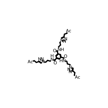 CC(=O)CCc1cn(CCCNC(=O)c2cc(C(=O)NCCCn3cc(CCC(C)=O)nn3)cc(C(=O)NCCCn3cc(CCC(C)=O)nn3)c2)nn1